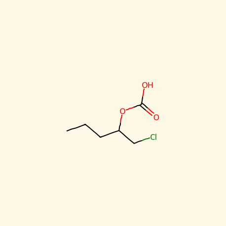 CCCC(CCl)OC(=O)O